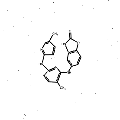 Cc1ccc(Nc2ncc(C)c(Nc3ccc4oc(=O)[nH]c4c3)n2)nc1